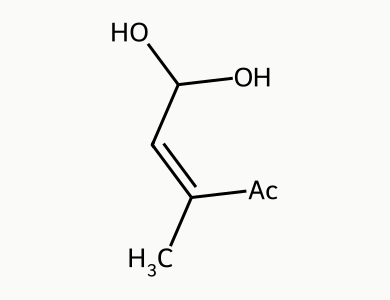 CC(=O)/C(C)=C\C(O)O